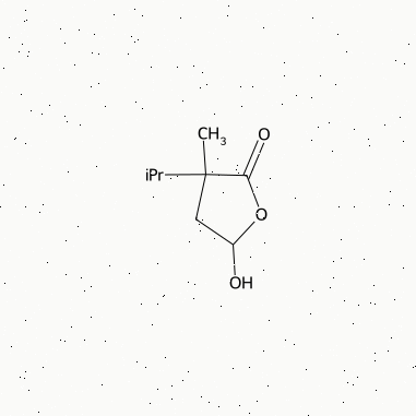 CC(C)C1(C)CC(O)OC1=O